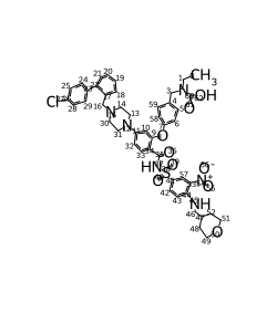 CCN(Cc1ccc(Oc2cc(N3CCN(Cc4ccccc4-c4ccc(Cl)cc4)CC3)ccc2C(=O)NS(=O)(=O)c2ccc(NCC3CCOCC3)c([N+](=O)[O-])c2)cc1)C(=O)O